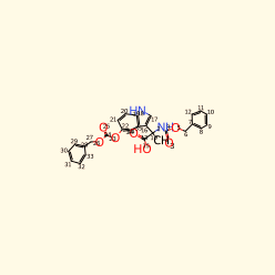 CC(NC(=O)OCc1ccccc1)(C(=O)O)c1c[nH]c2ccc(OC(=O)OCc3ccccc3)cc12